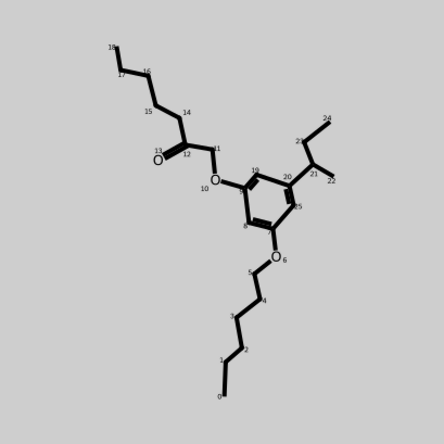 CCCCCCOc1cc(OCC(=O)CCCCC)cc(C(C)CC)c1